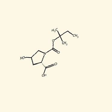 CCC(C)(C)OC(=O)N1CC(O)C[C@H]1C(=O)O